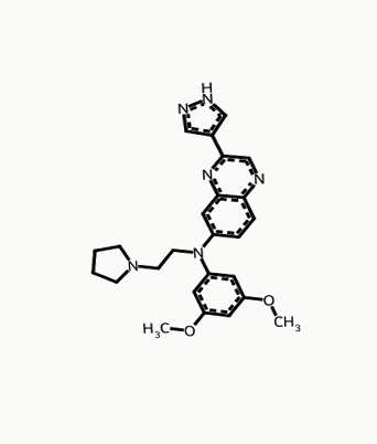 COc1cc(OC)cc(N(CCN2CCCC2)c2ccc3ncc(-c4cn[nH]c4)nc3c2)c1